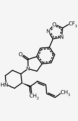 C=C(/C=C\C=C/C)[C@H]1CNCCC1N1Cc2ccc(-c3noc(C(F)(F)F)n3)cc2C1=O